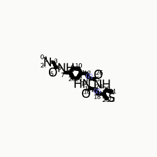 CN(C)CC(=O)NCc1ccc(/C=c2\[nH]c(=O)/c(=C/c3ccsc3)[nH]c2=O)cc1